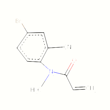 C=CC(=O)N(C)c1ccc(Br)cc1C#N